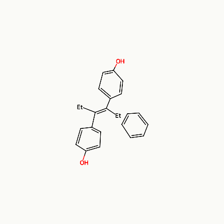 CC/C(=C(/CC)c1ccc(O)cc1)c1ccc(O)cc1.c1ccccc1